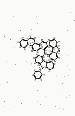 c1ccc(-n2c3ccccc3c3c(N(c4cccc5c4ccc4c6ccccc6ccc54)c4cccc5sc6ccccc6c45)cccc32)cc1